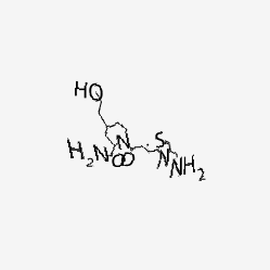 NCc1csc(C[CH]C(=O)N2CCC(CCO)CC2C(N)=O)n1